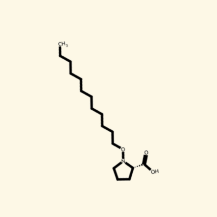 CCCCCCCCCCCCON1CCC[C@H]1C(=O)O